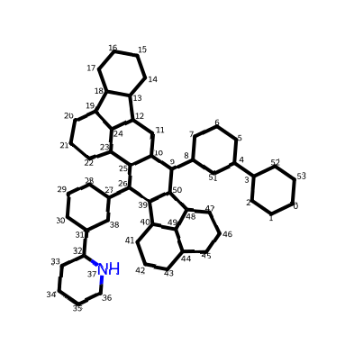 C1CCC(C2CCCC(C3C4CC5C6CCCCC6C6CCCC(C65)C4C(C4CCCC(C5CCCCN5)C4)C4C5CCCC6CCCC(C65)C34)C2)CC1